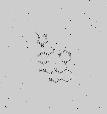 Cc1cn(-c2ccc(Nc3ncc4c(n3)C(c3ccccc3)CCC4)cc2F)cn1